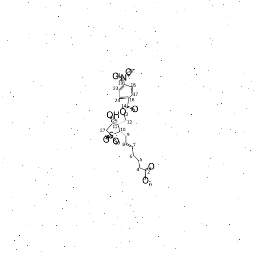 COC(=O)CCCC=CC[C@H]1[C@@H](COC(=O)c2ccc([N+](=O)[O-])cc2)C(O)CS1(=O)=O